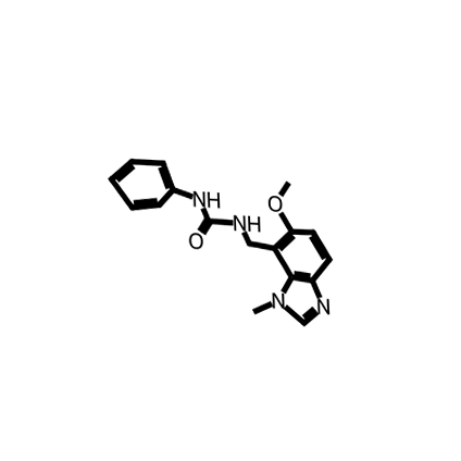 COc1ccc2ncn(C)c2c1CNC(=O)Nc1ccccc1